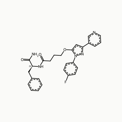 NC(=O)[C@H](Cc1ccccc1)NC(=O)CCCOc1cc(-c2cccnc2)nn1-c1ccc(F)cc1